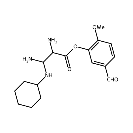 COc1ccc(C=O)cc1OC(=O)C(N)C(N)NC1CCCCC1